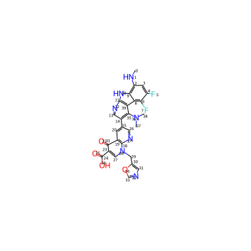 CNc1cc(F)c(F)c2c1[nH]c1ncc(-c3cnc4c(c3)c(=O)c(C(=O)O)cn4Cc3cnco3)c(N(C)C)c12